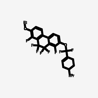 CCCC1CC=C(C(F)(F)Oc2ccc3c(c2F)C(F)(F)C(F)(F)c2c-3ccc(OCC)c2F)CC1